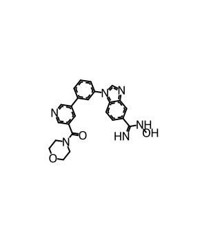 N=C(NO)c1ccc2c(c1)ncn2-c1cccc(-c2cncc(C(=O)N3CCOCC3)c2)c1